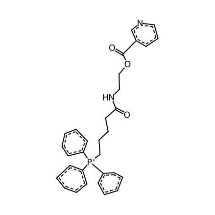 O=C(CCCC[P+](c1ccccc1)(c1ccccc1)c1ccccc1)NCCOC(=O)c1cccnc1